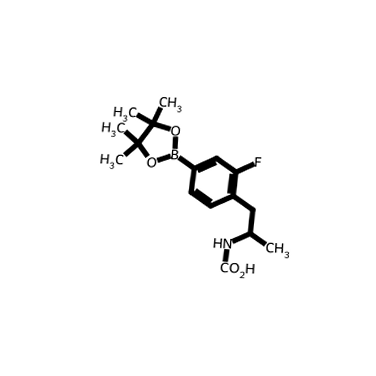 CC(Cc1ccc(B2OC(C)(C)C(C)(C)O2)cc1F)NC(=O)O